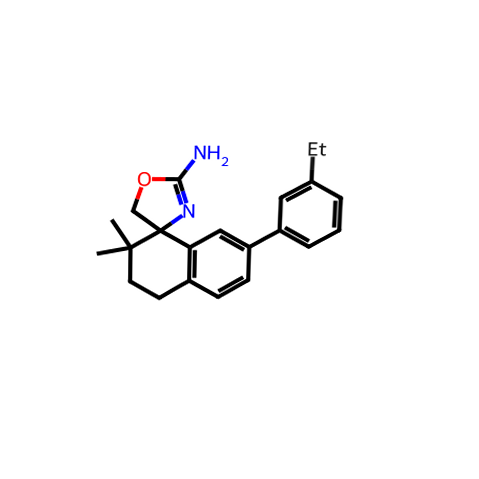 CCc1cccc(-c2ccc3c(c2)C2(COC(N)=N2)C(C)(C)CC3)c1